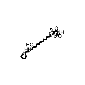 CN1CN(CCCCCCCCCC(O)CNCCN2CCCCC2)c2c1c(=O)[nH]c(=O)n2C